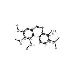 COc1cc(/C=N\c2cccc(C(C)C)c2O)cc(OC)c1OC